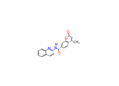 Cc1cc(=O)oc2cc(C(=O)Nc3ccc4ccccc4n3)ccc12